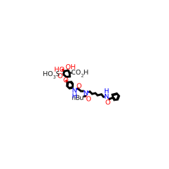 CCCCC(=O)N(CCCCCCNC(=O)c1ccccc1)CCC(=O)Nc1ccc(OC2CC(C(=O)O)C(O)C(O)C2OS(=O)(=O)O)cc1